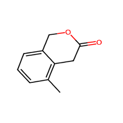 Cc1cccc2c1CC(=O)OC2